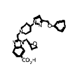 O=C(O)c1ccc2nc(CN3CCC(n4ccc(COc5ccccc5)n4)CC3)n(CC3CCO3)c2c1